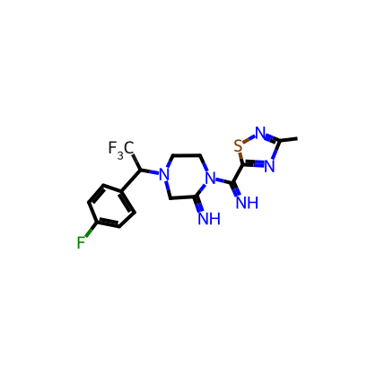 Cc1nsc(C(=N)N2CCN(C(c3ccc(F)cc3)C(F)(F)F)CC2=N)n1